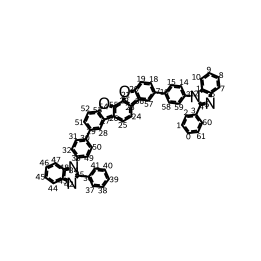 c1ccc(-c2nc3ccccc3n2-c2ccc(-c3ccc4oc5c(ccc6c7cc(-c8ccc(-n9c(-c%10ccccc%10)nc%10ccccc%109)cc8)ccc7oc65)c4c3)cc2)cc1